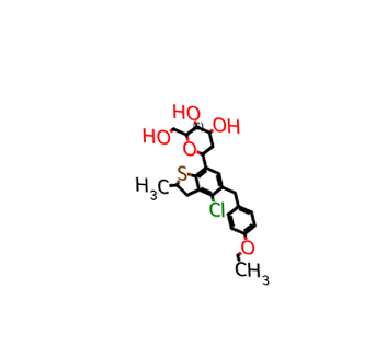 CCOc1ccc(Cc2cc(C3CC(O)[C@H](O)C(CO)O3)c3c(c2Cl)CC(C)S3)cc1